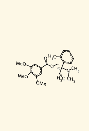 C=C[C@@](COC(=O)c1cc(OC)c(OC)c(OC)c1)(c1ccccc1C)N(C)C